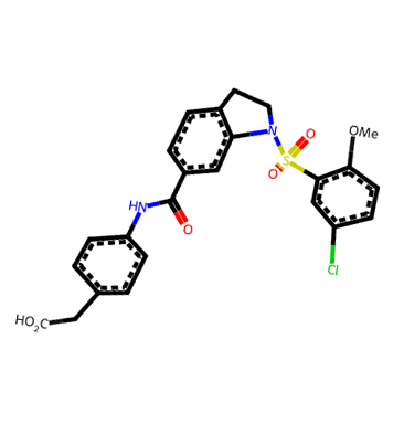 COc1ccc(Cl)cc1S(=O)(=O)N1CCc2ccc(C(=O)Nc3ccc(CC(=O)O)cc3)cc21